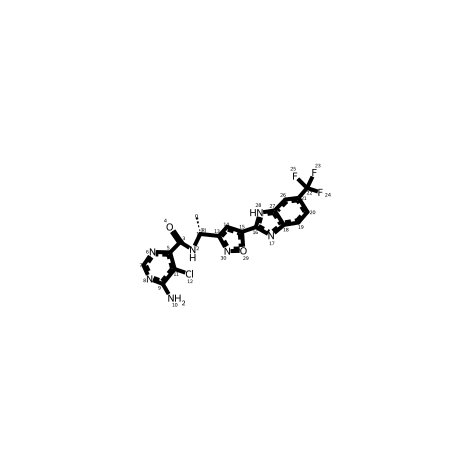 C[C@@H](NC(=O)c1ncnc(N)c1Cl)c1cc(-c2nc3ccc(C(F)(F)F)cc3[nH]2)on1